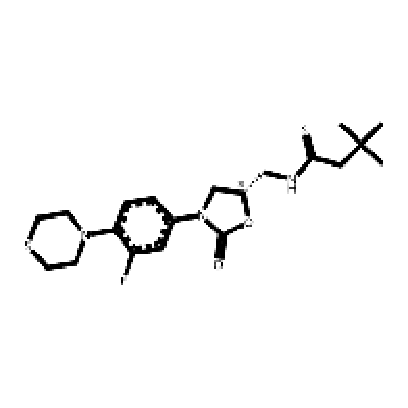 CC(C)(C)CC(=S)NC[C@H]1CN(c2ccc(N3CCSCC3)c(F)c2)C(=O)O1